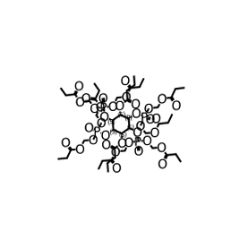 CCCC(=O)O[C@@H]1[C@@H](OP(=O)(OCOC(=O)CC)OCOC(=O)CC)[C@@H](OP(=O)(OCOC(=O)CC)OCOC(=O)CC)[C@@H](OC(=O)CCC)[C@H](OP(=O)(OCOC(=O)CC)OCOC(=O)CC)[C@H]1OP(=O)(OCOC(=O)CC)OCOC(=O)CC